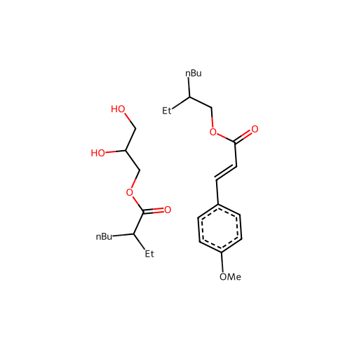 CCCCC(CC)C(=O)OCC(O)CO.CCCCC(CC)COC(=O)C=Cc1ccc(OC)cc1